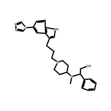 CN(C1CCN(CCCc2c[nH]c3ccc(-n4cnnc4)cc23)CC1)C(CO)c1ccccc1